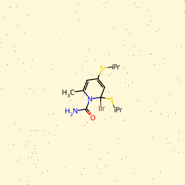 CC1=CC(SC(C)C)=CC(Br)(SC(C)C)N1C(N)=O